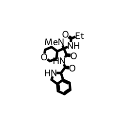 CCC(=O)NC(NC)(C(=O)NC(=O)C1NCc2ccccc21)C1CCOCC1